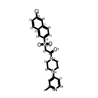 Cc1cc(N2CCN(C(=O)CS(=O)(=O)c3ccc4cc(Cl)ccc4c3)CC2)ccn1